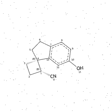 N#C[C@@H]1CC[C@@]12CCc1ccc(O)cc12